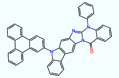 O=c1c2ccccc2n(-c2ccccc2)c2nc3cc4c(cc3n12)c1ccccc1n4-c1ccc2c3ccccc3c3ccccc3c2c1